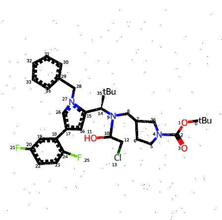 CC(C)(C)OC(=O)N1CCC(CN(C(O)CCl)[C@@H](c2cc(-c3cc(F)ccc3F)cn2Cc2ccccc2)C(C)(C)C)C1